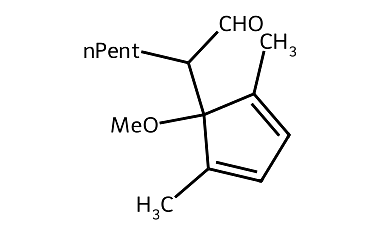 CCCCCC(C=O)C1(OC)C(C)=CC=C1C